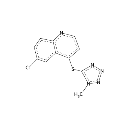 Cn1nnnc1Sc1ccnc2ccc(Cl)cc12